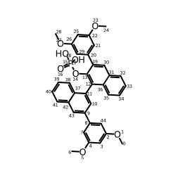 COc1cc(OC)cc(-c2cc(-c3c(OP(=O)(O)O)c(-c4cc(OC)cc(OC)c4)cc4ccccc34)c3ccccc3c2)c1